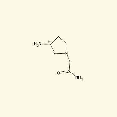 NC(=O)CN1CC[C@@H](N)C1